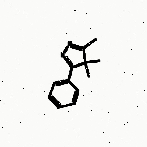 CC1=NN=C(c2ccccc2)C1(C)C